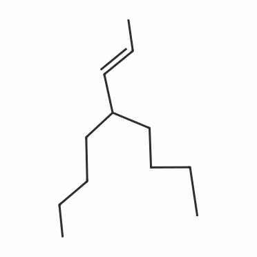 CC=CC(CCCC)CCCC